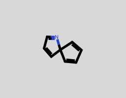 C1=CC2(C=C1)C=CC=N2